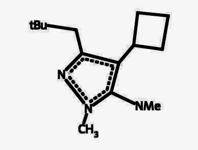 CNc1c(C2CCC2)c(CC(C)(C)C)nn1C